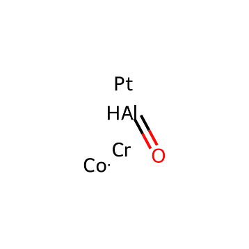 [Co].[Cr].[O]=[AlH].[Pt]